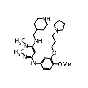 C=N/C(=C\C(=N/C)Nc1ccc(OC)c(OCCCN2CCCC2)c1)NCC1CCNCC1